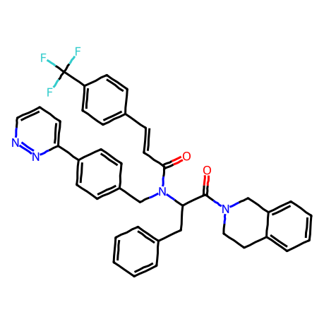 O=C(C(Cc1ccccc1)N(Cc1ccc(-c2cccnn2)cc1)C(=O)C=Cc1ccc(C(F)(F)F)cc1)N1CCc2ccccc2C1